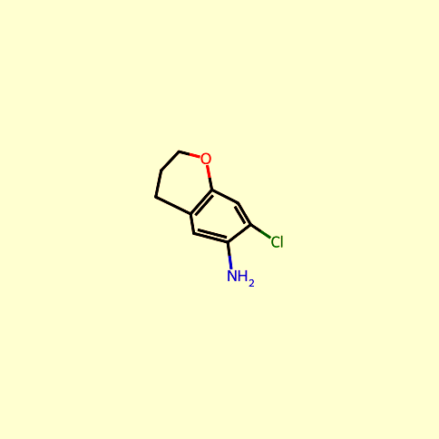 Nc1cc2c(cc1Cl)OCCC2